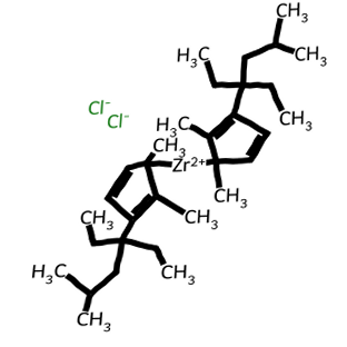 CCC(CC)(CC(C)C)C1=C(C)[C](C)([Zr+2][C]2(C)C=CC(C(CC)(CC)CC(C)C)=C2C)C=C1.[Cl-].[Cl-]